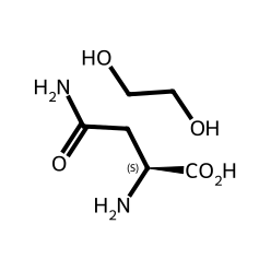 NC(=O)C[C@H](N)C(=O)O.OCCO